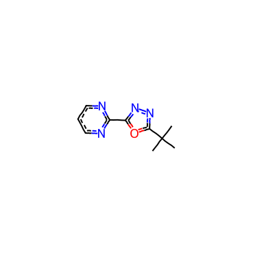 CC(C)(C)c1nnc(-c2ncccn2)o1